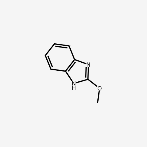 COc1nc2[c]cccc2[nH]1